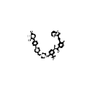 Cc1ccc(C(=O)Nc2ccc(CN3CCN(CC4CCN(c5ccc(C6CCC(=O)NC6=O)cc5)CC4)CC3)c(C(F)(F)F)c2)cc1C#Cc1cnc2cccnn12